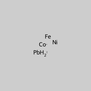 [Co].[Fe].[Ni].[PbH2]